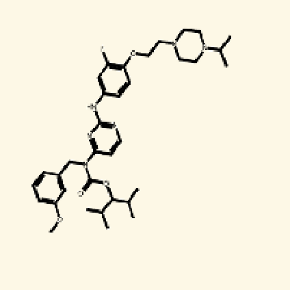 COc1cccc(CN(C(=O)OC(C(C)C)C(C)C)c2ccnc(Nc3ccc(OCCN4CCN(C(C)C)CC4)c(F)c3)n2)c1